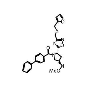 CON=C1C[C@@H](c2nc(CSCc3ccco3)no2)N(C(=O)c2ccc(-c3ccccc3)cc2)C1